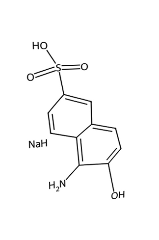 Nc1c(O)ccc2cc(S(=O)(=O)O)ccc12.[NaH]